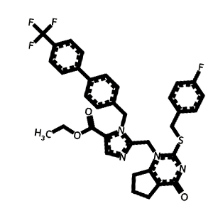 CCOC(=O)c1cnc(Cn2c(SCc3ccc(F)cc3)nc(=O)c3c2CCC3)n1Cc1ccc(-c2ccc(C(F)(F)F)cc2)cc1